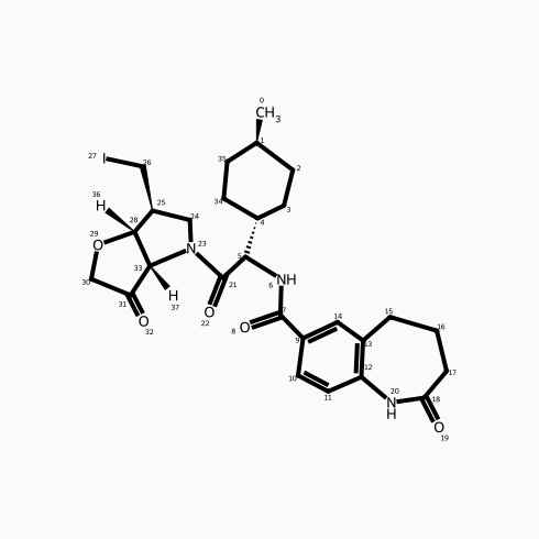 C[C@H]1CC[C@H](C(NC(=O)c2ccc3c(c2)CCCC(=O)N3)C(=O)N2C[C@H](CI)[C@H]3OCC(=O)[C@H]32)CC1